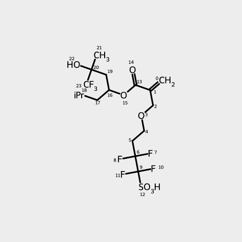 C=C(COCCC(F)(F)C(F)(F)S(=O)(=O)O)C(=O)OC(CC(C)C)CC(C)(O)C(F)(F)F